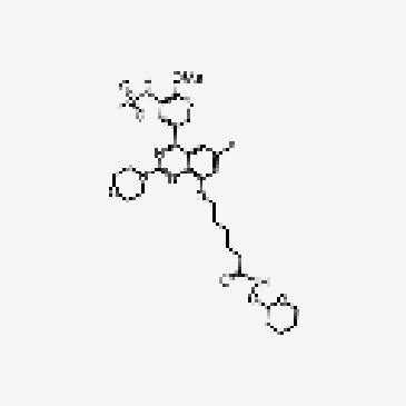 COc1ncc(-c2nc(N3CCOCC3)nc3c(OCCCCCC(=O)NOC4CCCCO4)cc(F)cc23)cc1NS(C)(=O)=O